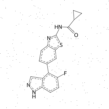 O=C(Nc1nc2ccc(-c3c(F)ccc4[nH]ncc34)cc2s1)C1CC1